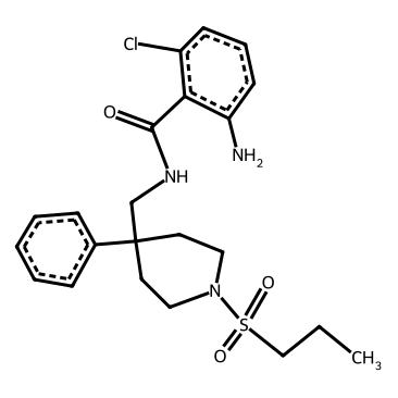 CCCS(=O)(=O)N1CCC(CNC(=O)c2c(N)cccc2Cl)(c2ccccc2)CC1